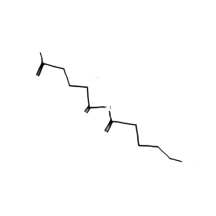 CCCCCC(=O)NC(=O)[C@@H](N)CCC(=O)O